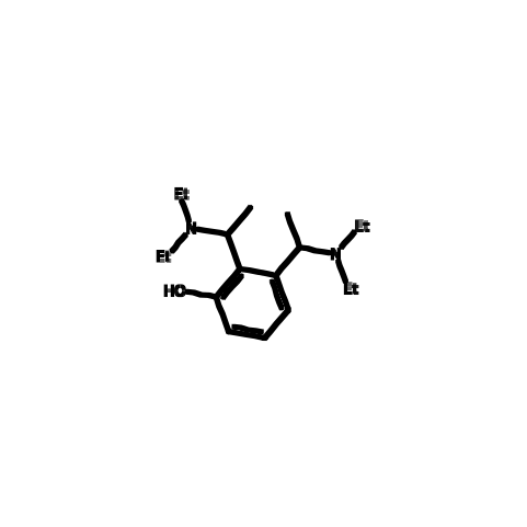 CCN(CC)C(C)c1cccc(O)c1C(C)N(CC)CC